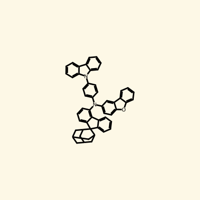 c1ccc2c(c1)-c1c(N(c3ccc(-n4c5ccccc5c5ccccc54)cc3)c3ccc4oc5ccccc5c4c3)cccc1C21C2CC3CC(C2)CC1C3